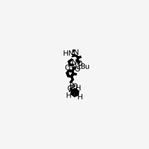 Cc1c(CCB2O[C@@H]3C[C@@H]4C[C@@H](C4(C)C)[C@]3(C)O2)ccc(O[C@@H]2CCN(C(=O)C(C)c3c[nH]cn3)C2)c1C(=O)OC(C)(C)C